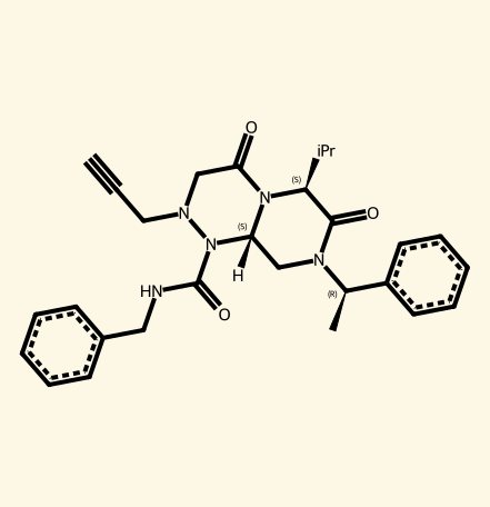 C#CCN1CC(=O)N2[C@@H](C(C)C)C(=O)N([C@H](C)c3ccccc3)C[C@@H]2N1C(=O)NCc1ccccc1